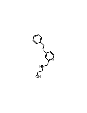 OCCNCc1cc(OCc2ccccc2)ccn1